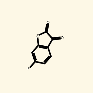 O=C1Sc2cc(F)ccc2C1=O